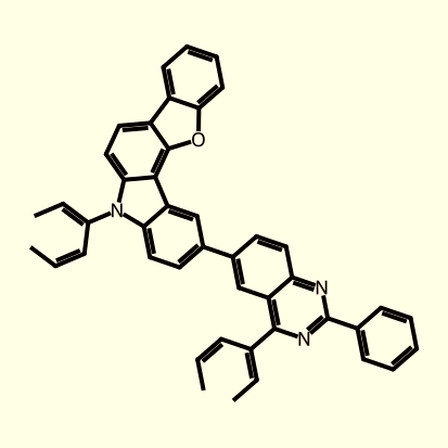 C/C=C\C(=C/C)c1nc(-c2ccccc2)nc2ccc(-c3ccc4c(c3)c3c5oc6ccccc6c5ccc3n4C(/C=C\C)=C/C)cc12